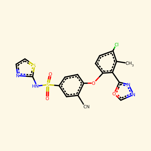 Cc1c(Cl)ccc(Oc2ccc(S(=O)(=O)Nc3nccs3)cc2C#N)c1-c1nnco1